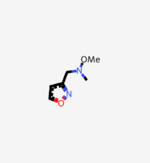 CON(C)Cc1ccon1